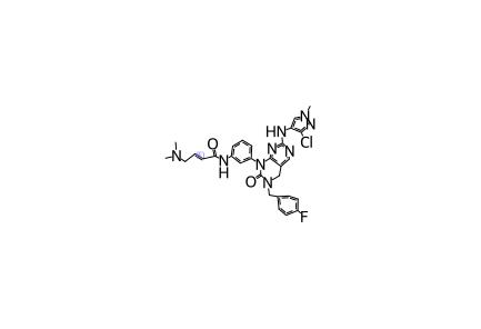 CN(C)C/C=C/C(=O)Nc1cccc(N2C(=O)N(Cc3ccc(F)cc3)Cc3cnc(Nc4cn(C)nc4Cl)nc32)c1